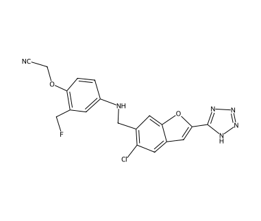 N#CCOc1ccc(NCc2cc3oc(-c4nnn[nH]4)cc3cc2Cl)cc1CF